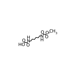 CCOC(=O)C(=O)NCCCCCCNC(=O)C(=O)O